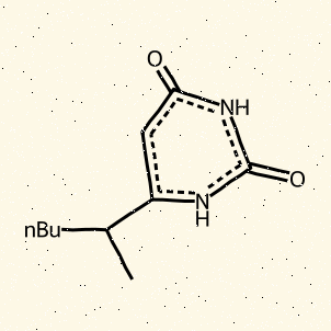 CCCCC(C)c1cc(=O)[nH]c(=O)[nH]1